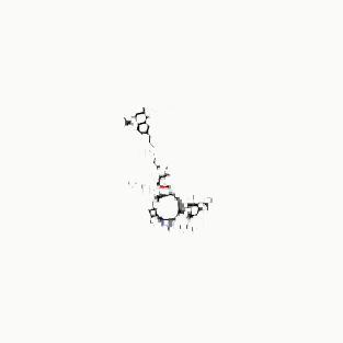 CO/N=C1\[C@H](C)C[C@@](C)(O)[C@H](O[C@@H]2O[C@H](C)C[C@H](N(C)C)[C@H]2O)[C@@H](C)[C@H](O[C@H]2C[C@@H](OC)[C@@H](OC(=O)CCNCCCc3ccc4c(c3)c(=O)c(C(=O)O)cn4N(C)C)[C@H](C)O2)[C@@H](C)C(=O)O[C@@H]2CC[C@]2(O)[C@@H]1O